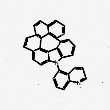 c1cc2c3c(c1)ccc1ccc4ccc5c(c6c-2cccc6n5-c2cccc5ncccc25)c4c13